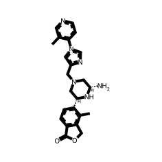 Cc1cnccc1-n1cnc(CN2C[C@@H](c3ccc4c(c3C)COC4=O)N[C@@H](N)C2)c1